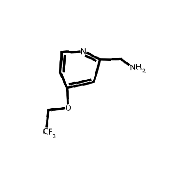 NCc1cc(OCC(F)(F)F)ccn1